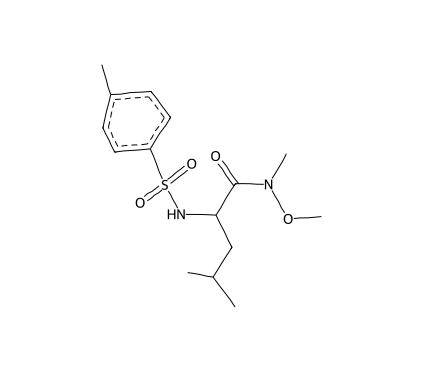 CON(C)C(=O)C(CC(C)C)NS(=O)(=O)c1ccc(C)cc1